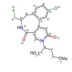 COCCC(C(=O)O)n1cc2c(cc1=O)-c1cc(Cl)ccc1CC(CF)NC2=O